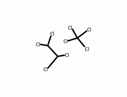 ClC(Cl)(Cl)Cl.ClC(Cl)C(Cl)Cl